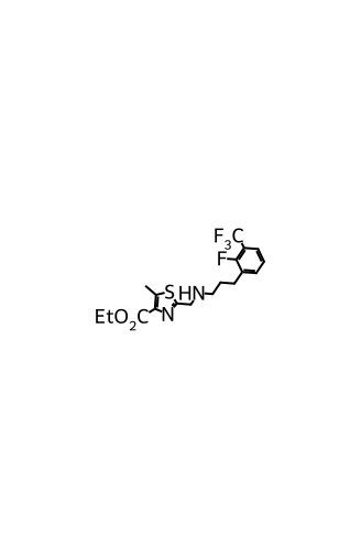 CCOC(=O)c1nc(CNCCCc2cccc(C(F)(F)F)c2F)sc1C